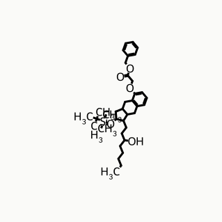 CCCCCC(O)CCC1C(O[Si](C)(C)C(C)(C)C)CC2Cc3c(cccc3OCC(=O)OCc3ccccc3)CC21